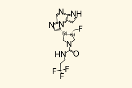 O=C(NCCC(F)(F)F)N1C[C@@H](CF)[C@@H](c2cnc3cnc4[nH]ccc4n23)C1